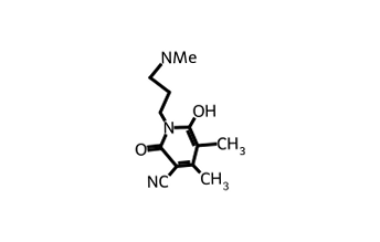 CNCCCn1c(O)c(C)c(C)c(C#N)c1=O